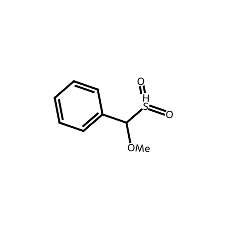 COC(c1ccccc1)[SH](=O)=O